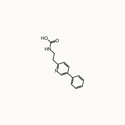 O=C(O)NCCc1ccc(-c2ccccc2)cn1